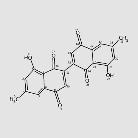 Cc1cc(O)c2c(c1)C(=O)C=C(C1=CC(=O)c3cc(C)cc(O)c3C1=O)C2=O